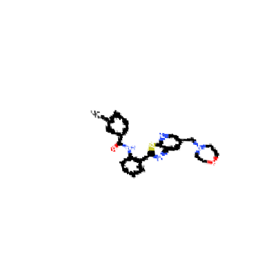 N#Cc1cccc(C(=O)Nc2ccccc2-c2nc3cc(CN4CCOCC4)cnc3s2)c1